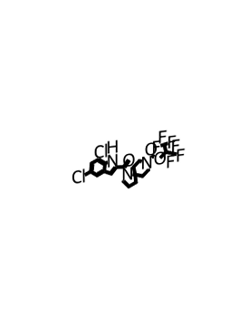 O=C(OC(C(F)(F)F)C(F)(F)F)N1CCC2(CCCN2C(=O)c2cc3cc(Cl)cc(Cl)c3[nH]2)CC1